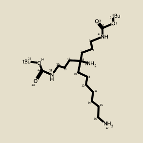 CC(C)(C)OC(=O)NCCCC(N)(CCCCCCCN)CCCNC(=O)OC(C)(C)C